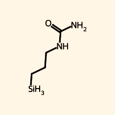 NC(=O)NCCC[SiH3]